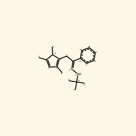 CC1=CC(C)=C(CC(=NNC(C)(C)C)c2ccccc2)C1C